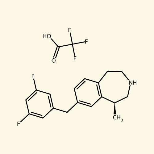 C[C@@H]1CNCCc2ccc(Cc3cc(F)cc(F)c3)cc21.O=C(O)C(F)(F)F